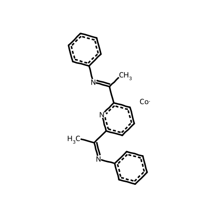 CC(=Nc1ccccc1)c1cccc(C(C)=Nc2ccccc2)n1.[Co]